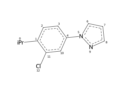 CC(C)c1ccc(-n2cccn2)cc1Cl